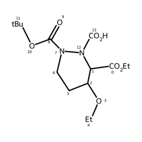 CCOC(=O)C1C(OCC)CCN(C(=O)OC(C)(C)C)N1C(=O)O